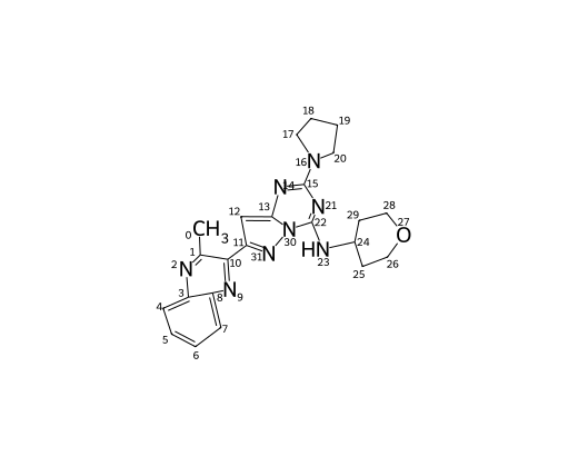 Cc1nc2ccccc2nc1-c1cc2nc(N3CCCC3)nc(NC3CCOCC3)n2n1